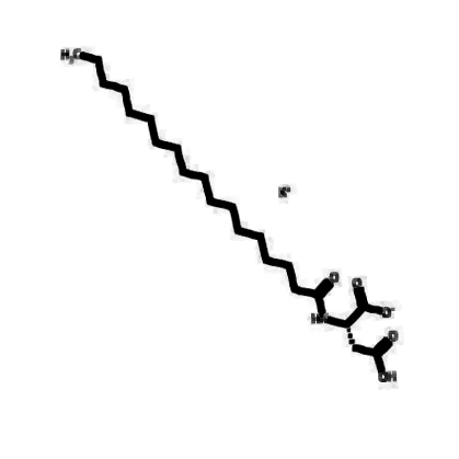 CCCCCCCCCCCCCCCCCC(=O)N[C@@H](CC(=O)O)C(=O)[O-].[K+]